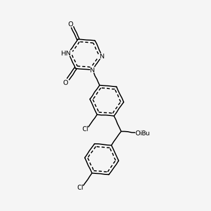 CC(C)COC(c1ccc(Cl)cc1)c1ccc(-n2ncc(=O)[nH]c2=O)cc1Cl